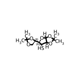 CC1(C)O[C@H]2O[C@H]([C@H]3COC(C)(C)O3)[C@@H](S)[C@H]2O1